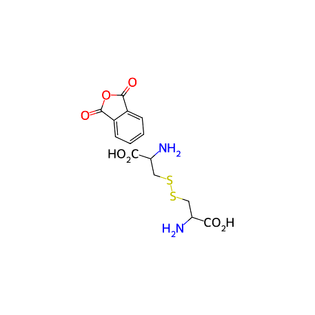 NC(CSSCC(N)C(=O)O)C(=O)O.O=C1OC(=O)c2ccccc21